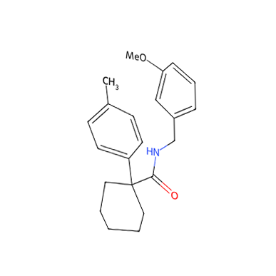 COc1cccc(CNC(=O)C2(c3ccc(C)cc3)CCCCC2)c1